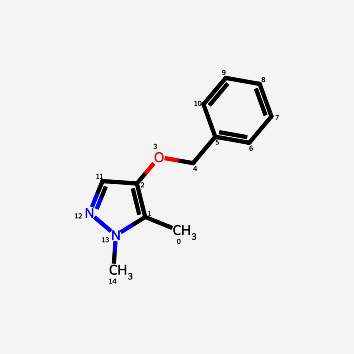 Cc1c(OCc2ccccc2)cnn1C